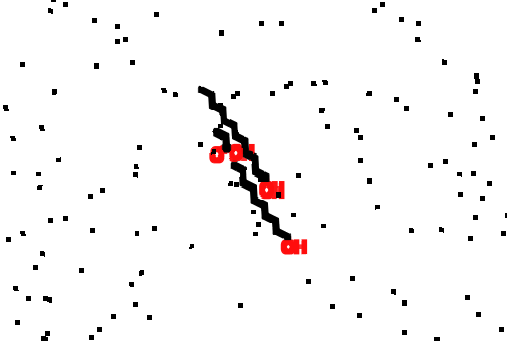 C=CC(=O)O.CCCCCCCCCCCCO.CCCCCCCCCCO